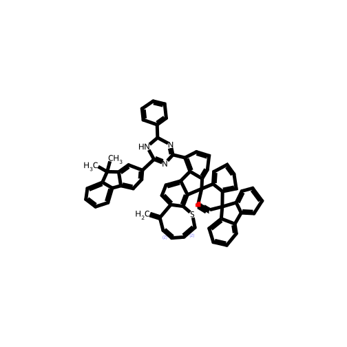 C=C1/C=C\C=C/Sc2c1ccc1c2C2(c3ccccc3C3(c4ccccc4-c4ccccc43)c3ccccc32)c2cccc(C3=NC(c4ccccc4)NC(c4ccc5c(c4)C(C)(C)c4ccccc4-5)=N3)c2-1